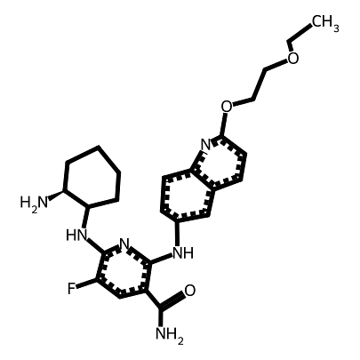 CCOCCOc1ccc2cc(Nc3nc(NC4CCCC[C@@H]4N)c(F)cc3C(N)=O)ccc2n1